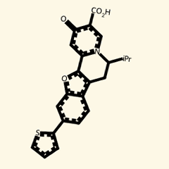 CC(C)C1Cc2c(oc3cc(-c4cccs4)ccc23)-c2cc(=O)c(C(=O)O)cn21